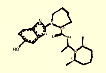 CC(NC(=O)[C@@H]1CCCCN1c1nc2ccc(O)cc2o1)N1[C@H](C)CCC[C@@H]1C